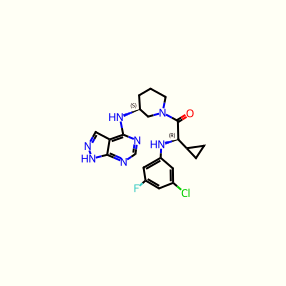 O=C([C@H](Nc1cc(F)cc(Cl)c1)C1CC1)N1CCC[C@H](Nc2ncnc3[nH]ncc23)C1